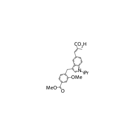 COC(=O)c1ccc(Cc2cn(C(C)C)c3ccc(/C=C(\C)C(=O)O)cc23)c(OC)c1